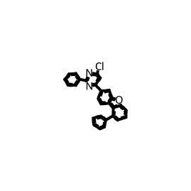 Clc1cc(-c2ccc3c(c2)oc2cccc(-c4ccccc4)c23)nc(-c2ccccc2)n1